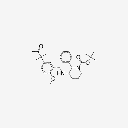 COc1ccc(C(C)(C)C(C)=O)cc1CNC1CCCN(C(=O)OC(C)(C)C)C1c1ccccc1